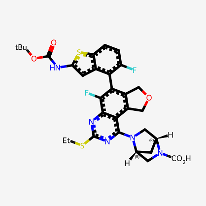 CCSc1nc(N2C[C@H]3C[C@@H]2CN3C(=O)O)c2c3c(c(-c4c(F)ccc5sc(NC(=O)OC(C)(C)C)cc45)c(F)c2n1)COC3